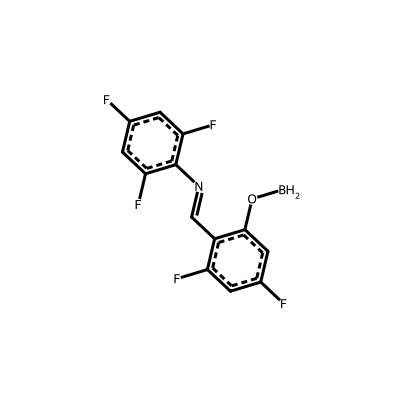 BOc1cc(F)cc(F)c1/C=N/c1c(F)cc(F)cc1F